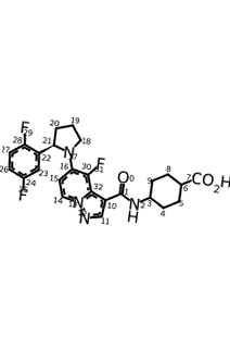 O=C(NC1CCC(C(=O)O)CC1)c1cnn2ccc(N3CCC[C@@H]3c3cc(F)ccc3F)c(F)c12